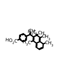 C=C(C1=C(C)C2=CC=CC(C)C2=C(C)C1(C)C)c1ccc(C(=O)O)cc1